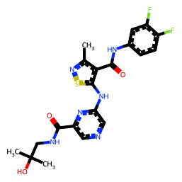 Cc1nsc(Nc2cncc(C(=O)NCC(C)(C)O)n2)c1C(=O)Nc1ccc(F)c(F)c1